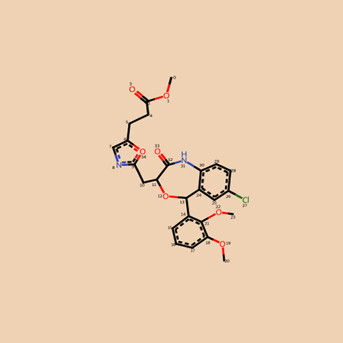 COC(=O)CCc1cnc(CC2OC(c3cccc(OC)c3OC)c3cc(Cl)ccc3NC2=O)o1